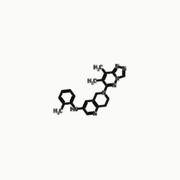 Cc1ccccc1Nc1cnc2c(c1)CN(c1nn3cnnc3c(C)c1C)CC2